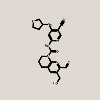 N#Cc1cnc(NC(=O)N2CCCc3cc(CO)c(C=O)nc32)cc1NC1CCOC1